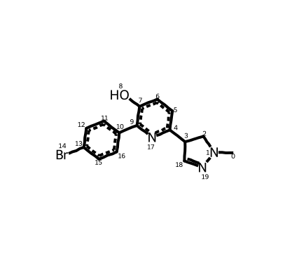 CN1CC(c2ccc(O)c(-c3ccc(Br)cc3)n2)C=N1